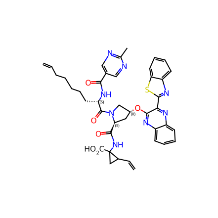 C=CCCCCC[C@H](NC(=O)c1cnc(C)nc1)C(=O)N1C[C@H](Oc2nc3ccccc3nc2-c2nc3ccccc3s2)C[C@H]1C(=O)NC1(C(=O)O)CC1C=C